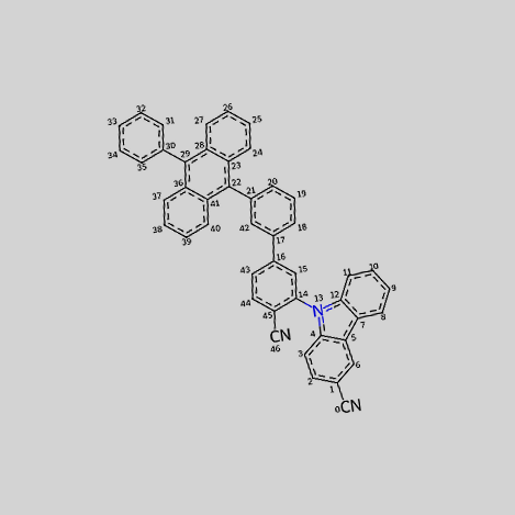 N#Cc1ccc2c(c1)c1ccccc1n2-c1cc(-c2cccc(-c3c4ccccc4c(-c4ccccc4)c4ccccc34)c2)ccc1C#N